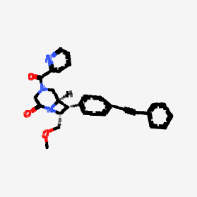 COC[C@H]1[C@@H](c2ccc(C#Cc3ccccc3)cc2)[C@@H]2CN(C(=O)c3ccccn3)CC(=O)N12